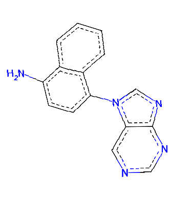 Nc1ccc(-n2cnc3ncncc32)c2ccccc12